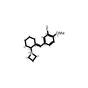 COc1ccc(C=C2CCCCC2N2CCC2)cc1F